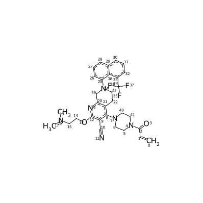 C=CC(=O)N1CCN(c2c(C#N)c(OCCN(C)C)nc3c2CCN(c2cccc4cccc(C(F)(F)F)c24)C3)CC1